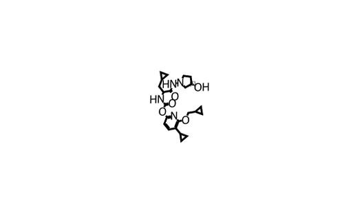 O=C(NC(CC1CC1)C(=O)NN1CC[C@H](O)C1)Oc1ccc(C2CC2)c(OCC2CC2)n1